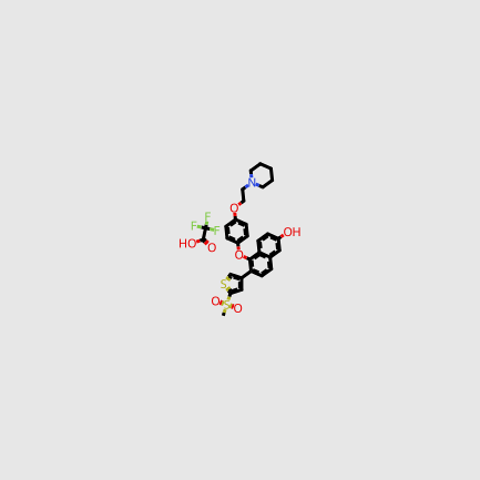 CS(=O)(=O)c1cc(-c2ccc3cc(O)ccc3c2Oc2ccc(OCCN3CCCCC3)cc2)cs1.O=C(O)C(F)(F)F